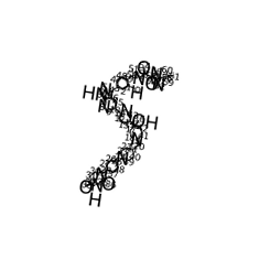 Cc1cc(-c2n[nH]c3ncc(-c4ccc(C5(O)CCN(CC6CCN(c7ccc(N8CCC(=O)NC8=O)cc7)CC6)CC5)cn4)cc23)ccc1[C@@H](C)NC(=O)c1nc(C(C)(C)C)no1